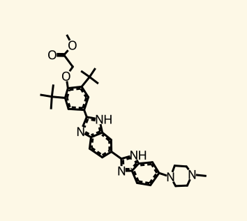 COC(=O)COc1c(C(C)(C)C)cc(-c2nc3ccc(-c4nc5ccc(N6CCN(C)CC6)cc5[nH]4)cc3[nH]2)cc1C(C)(C)C